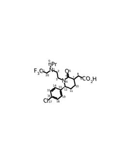 CCCN(CCN1C(=O)C(CC(=O)O)CC[C@H]1c1ccc(Cl)cc1)CC(F)(F)F